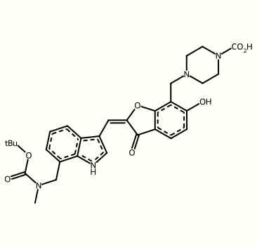 CN(Cc1cccc2c(C=C3Oc4c(ccc(O)c4CN4CCN(C(=O)O)CC4)C3=O)c[nH]c12)C(=O)OC(C)(C)C